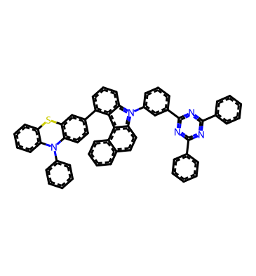 c1ccc(-c2nc(-c3ccccc3)nc(-c3cccc(-n4c5cccc(-c6ccc7c(c6)Sc6ccccc6N7c6ccccc6)c5c5c6ccccc6ccc54)c3)n2)cc1